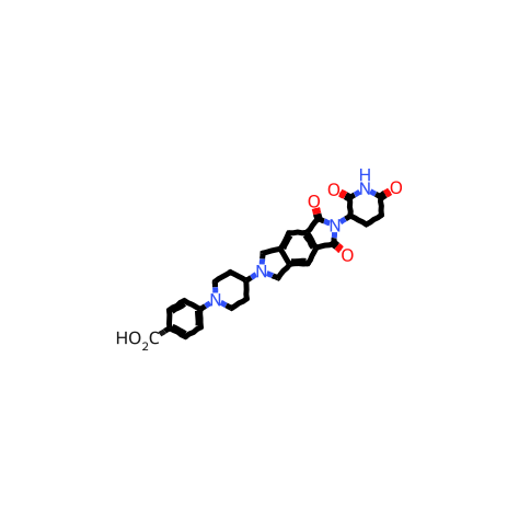 O=C1CCC(N2C(=O)c3cc4c(cc3C2=O)CN(C2CCN(c3ccc(C(=O)O)cc3)CC2)C4)C(=O)N1